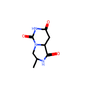 CC1CN2C(=O)NC(=O)CC2C(=O)N1